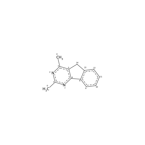 Cc1nc(C)c2c(n1)-c1ccccc1C2